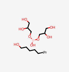 CC(C)CCCCCO.OCC(O)COB(O)OCC(O)CO